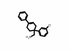 NCC1(c2cccc(Cl)c2)CC=C(c2ccccc2)CC1